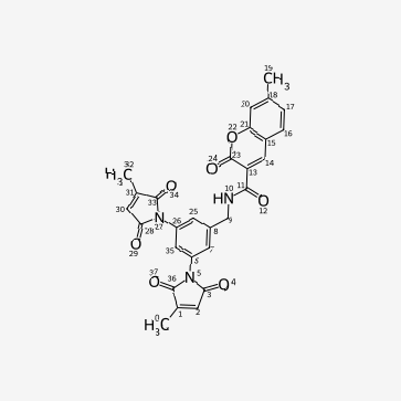 CC1=CC(=O)N(c2cc(CNC(=O)c3cc4ccc(C)cc4oc3=O)cc(N3C(=O)C=C(C)C3=O)c2)C1=O